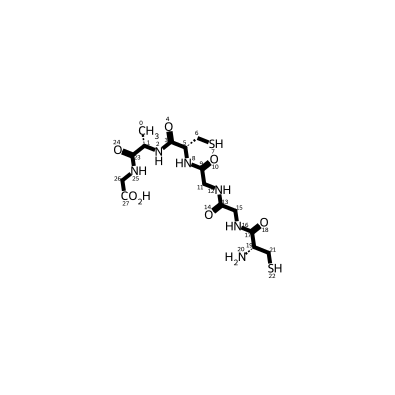 C[C@H](NC(=O)[C@H](CS)NC(=O)CNC(=O)CNC(=O)[C@@H](N)CS)C(=O)NCC(=O)O